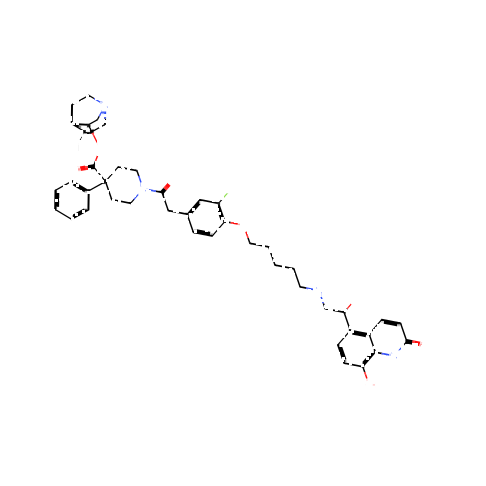 O=C(Cc1ccc(OCCCCCNCC(O)c2ccc(O)c3[nH]c(=O)ccc23)c(F)c1)N1CCC(C(=O)O[C@H]2CN3CCC2CC3)(c2ccccc2)CC1